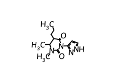 CCCC1C(=O)N(c2cc[nH]n2)C(=O)N(C)C1C